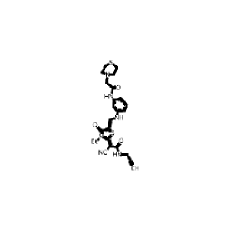 C#CCNC(=O)C(C#N)=c1sc(=CNc2cccc(NC(=O)CN3CCSCC3)c2)c(=O)n1CC